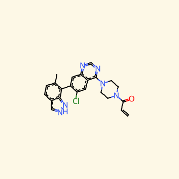 C=CC(=O)N1CCN(c2ncnc3cc(-c4c(C)ccc5cn[nH]c45)c(Cl)cc23)CC1